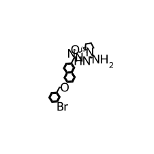 N=C(N)N1CCC[C@H]1c1nc(-c2ccc3cc(OCc4cccc(Br)c4)ccc3c2)no1